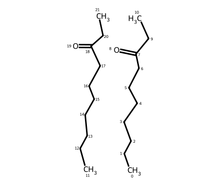 CCCCCCCC(=O)CC.CCCCCCCC(=O)CC